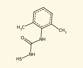 Cc1cccc(C)c1NC(=O)NS